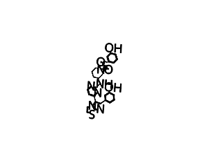 O=S(=O)(c1cccc(O)c1)N1CCC[C@@H](Nc2nccc(-c3c(-c4cccc(O)c4)nc4sccn34)n2)C1